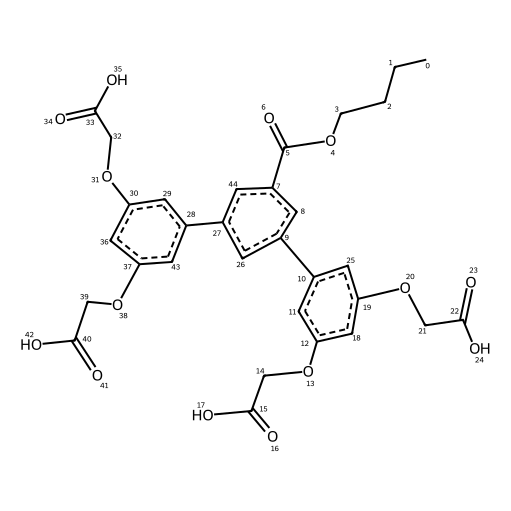 CCCCOC(=O)c1cc(-c2cc(OCC(=O)O)cc(OCC(=O)O)c2)cc(-c2cc(OCC(=O)O)cc(OCC(=O)O)c2)c1